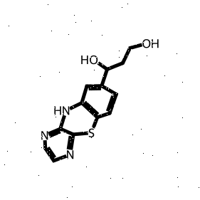 OCCC(O)c1ccc2c(c1)Nc1nccnc1S2